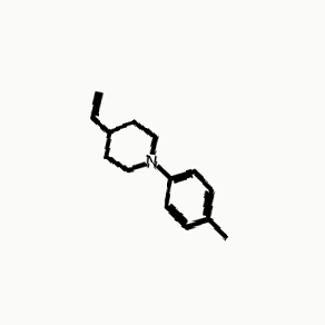 C=CC1CCN(c2ccc(C)cc2)CC1